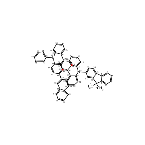 CC1(C)c2ccccc2-c2ccc(N(c3ccccc3)c3ccccc3-c3ccc(-c4ccccc4N(c4ccccc4)c4ccc(-c5ccc6ccccc6c5)cc4)cc3)cc21